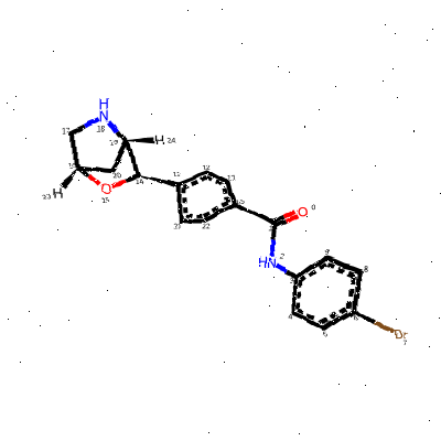 O=C(Nc1ccc(Br)cc1)c1ccc([C@H]2O[C@@H]3CN[C@H]2C3)cc1